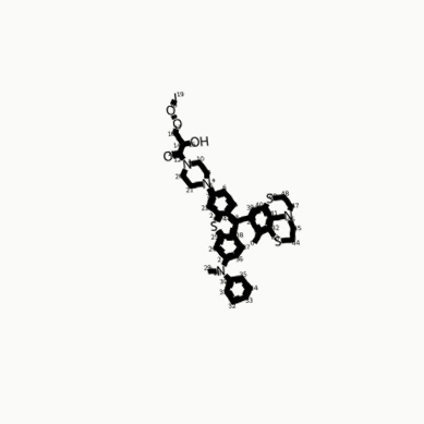 Cc1c(-c2c3ccc(=[N+]4CCN(C(=O)C(O)COOI)CC4)cc-3sc3cc(N(C)c4ccccc4)ccc23)cc2c3c1SCCN3CCS2